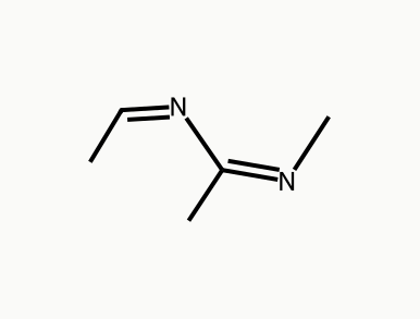 C/C=N\C(C)=N/C